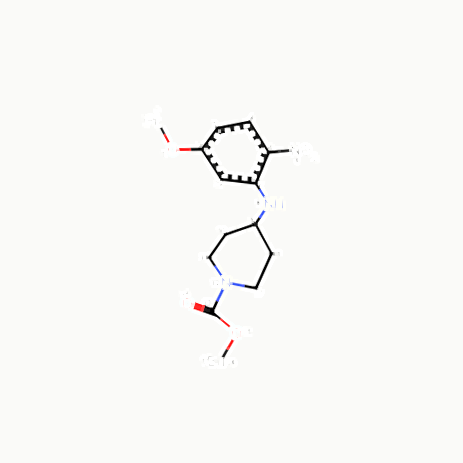 CC(C)Oc1ccc([N+](=O)[O-])c(NC2CCN(C(=O)OC(C)(C)C)CC2)c1